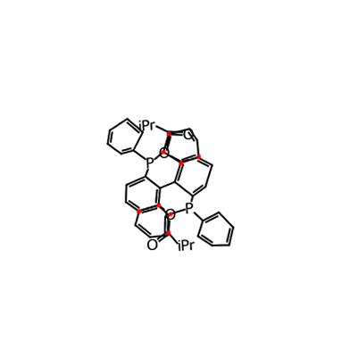 CC(C)C(=O)Oc1cccc(P(c2ccccc2)c2ccccc2)c1-c1c(OC(=O)C(C)C)cccc1P(c1ccccc1)c1ccccc1